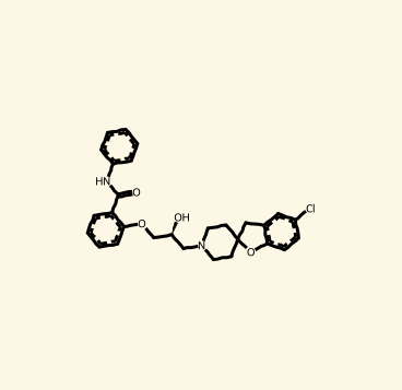 O=C(Nc1ccccc1)c1ccccc1OC[C@@H](O)CN1CCC2(CC1)Cc1cc(Cl)ccc1O2